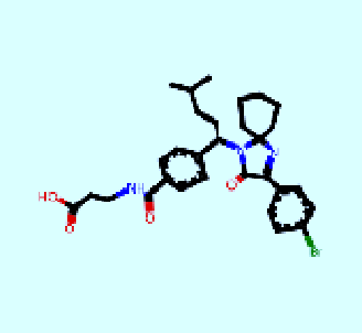 CC(C)CC[C@H](c1ccc(C(=O)NCCC(=O)O)cc1)N1C(=O)C(c2ccc(Br)cc2)=NC12CCCCC2